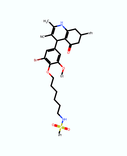 CCCC1CC(=O)C2=C(C1)NC(C)=C(C#N)C2c1cc(Br)c(OCCCCCCNS(=O)(=O)C(C)C)c(OCC)c1